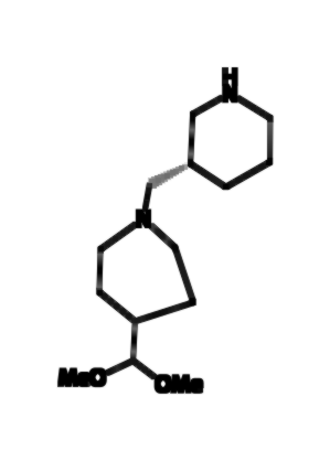 COC(OC)C1CCN(C[C@H]2CCCNC2)CC1